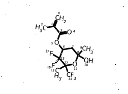 C=C(C)C(=O)OC1CC(C)(O)OC(C)(C(F)(F)F)C1(F)F